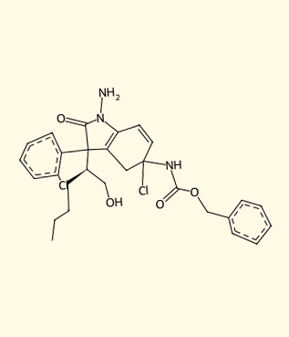 CCCC[C@H](CO)C1(c2ccccc2Cl)C(=O)N(N)C2=C1CC(Cl)(NC(=O)OCc1ccccc1)C=C2